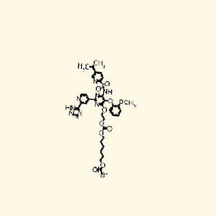 COc1ccccc1Oc1c(NS(=O)(=O)c2ccc(C(C)C)cn2)nc(-c2ccnc(-c3nnn[nH]3)c2)nc1OCCOC(=O)OCCCCCCO[N+](=O)[O-]